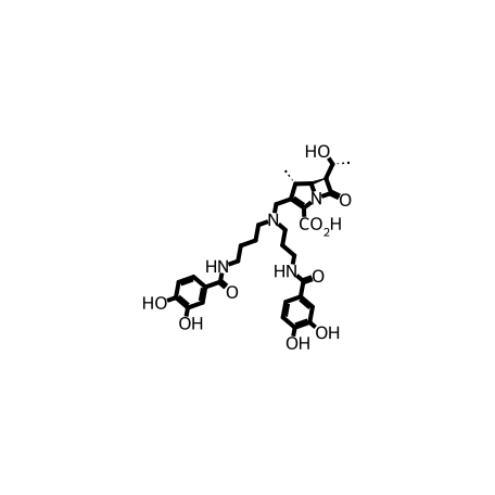 C[C@H]1C(CN(CCCCNC(=O)c2ccc(O)c(O)c2)CCCNC(=O)c2ccc(O)c(O)c2)=C(C(=O)O)N2C(=O)[C@H]([C@@H](C)O)C12